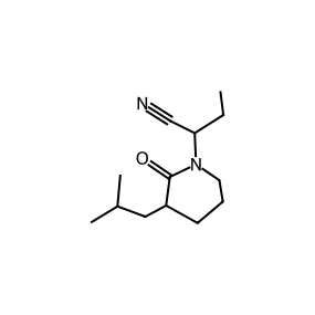 CCC(C#N)N1CCCC(CC(C)C)C1=O